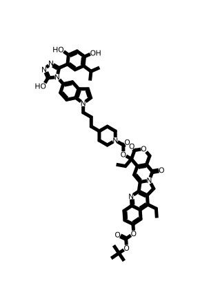 CCc1c2c(nc3ccc(OC(=O)OC(C)(C)C)cc13)-c1cc3c(c(=O)n1C2)COC(=O)C3(CC)OC(=O)N1CCC(CCCn2ccc3cc(-n4c(O)nnc4-c4cc(C(C)C)c(O)cc4O)ccc32)CC1